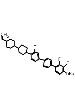 C=CC1CCC(C2CCC(c3ccc(-c4ccc(-c5ccc(CCCC)c(F)c5F)cc4)cc3F)CC2)CC1